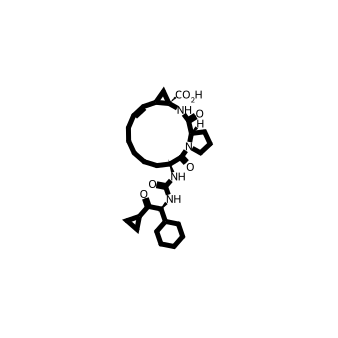 O=C(N[C@H]1CCCCC/C=C\C2C[C@@]2(C(=O)O)NC(=O)[C@@H]2CCCN2C1=O)N[C@H](C(=O)C1CC1)C1CCCCC1